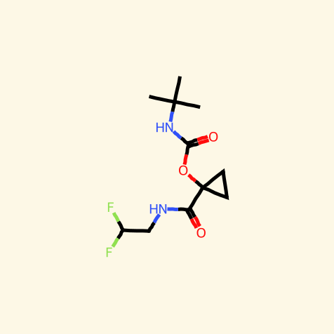 CC(C)(C)NC(=O)OC1(C(=O)NCC(F)F)CC1